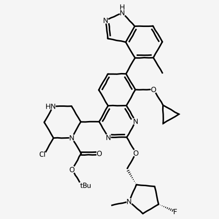 Cc1ccc2[nH]ncc2c1-c1ccc2c(C3CNCC(Cl)N3C(=O)OC(C)(C)C)nc(OC[C@@H]3C[C@H](F)CN3C)nc2c1OC1CC1